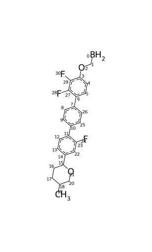 BCOc1ccc(-c2ccc(-c3ccc(C4CCC(C)CO4)cc3F)cc2)c(F)c1F